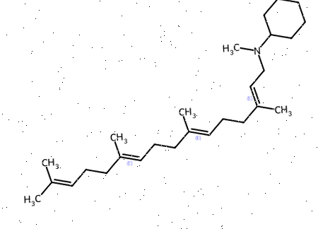 CC(C)=CCC/C(C)=C/CC/C(C)=C/CC/C(C)=C/CN(C)C1CCCCC1